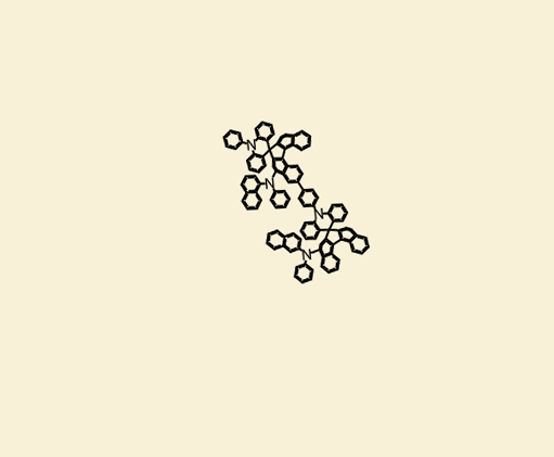 c1ccc(N2c3ccccc3C3(c4ccccc42)c2ccc4ccccc4c2-c2c3cc(N(c3ccccc3)c3cccc4ccccc34)c3cc(-c4ccc(N5c6ccccc6C6(c7ccccc75)c5ccc7ccccc7c5-c5c6cc(N(c6ccccc6)c6ccc7ccccc7c6)c6ccccc56)cc4)ccc23)cc1